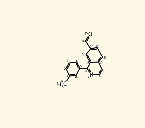 Cc1cccc(-c2nccc3ccc(C=O)cc23)c1